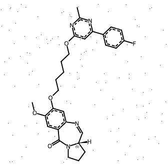 COc1cc2c(cc1OCCCCCOc1cc(-c3ccc(F)cc3)nc(C)n1)N=C[C@@H]1CCCN1C2=O